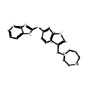 c1cnc2nc(Oc3ccc4c(CN5CCCNCC5)coc4c3)sc2c1